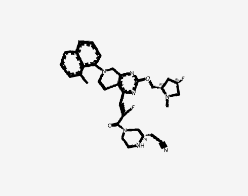 Cc1cccc2cccc(N3CCc4c(C=C(F)C(=O)N5CCN[C@@H](CC#N)C5)nc(OC[C@H]5C[C@@H](F)CN5C)nc4C3)c12